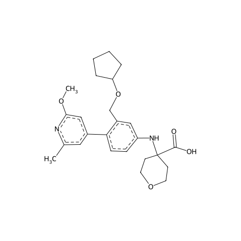 COc1cc(-c2ccc(NC3(C(=O)O)CCOCC3)cc2COC2CCCC2)cc(C)n1